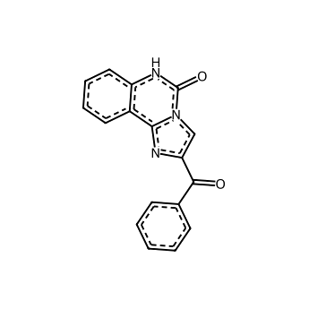 O=C(c1ccccc1)c1cn2c(=O)[nH]c3ccccc3c2n1